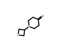 O=C1CCN(C2COC2)CC1